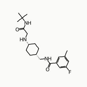 Cc1cc(F)cc(C(=O)NC[C@H]2CC[C@@H](NCC(=O)NC(C)(C)C)CC2)c1